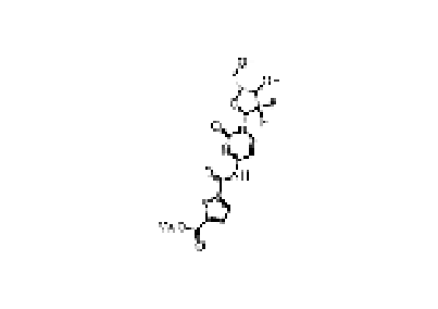 COC(=O)c1ccc(C(=O)Nc2ccn([C@@H]3O[C@H](CO)[C@@H](O)C3(F)F)c(=O)n2)s1